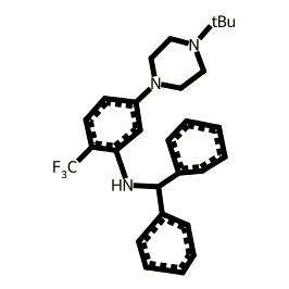 CC(C)(C)N1CCN(c2ccc(C(F)(F)F)c(NC(c3ccccc3)c3ccccc3)c2)CC1